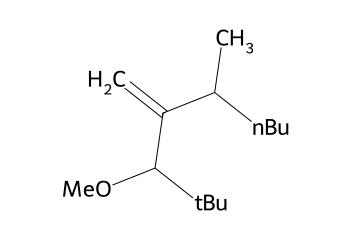 C=C(C(C)CCCC)C(OC)C(C)(C)C